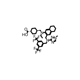 CCN(C[C@H]1CC[C@H](C(=O)O)CC1)c1cc2c(cc1CN(Cc1cc(C(F)(F)F)cc(C(F)(F)F)c1)c1ncn(C)n1)CCCC2